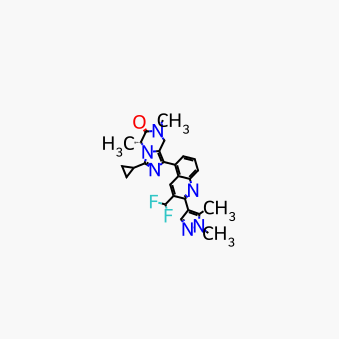 Cc1c(-c2nc3cccc(-c4nc(C5CC5)n5c4CN(C)C(=O)[C@H]5C)c3cc2C(F)F)cnn1C